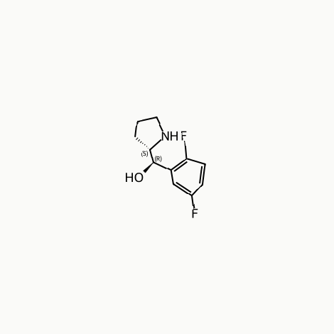 O[C@H](c1cc(F)ccc1F)[C@@H]1CCCN1